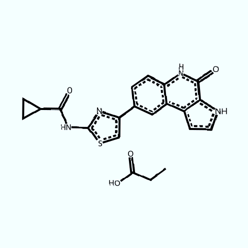 CCC(=O)O.O=C(Nc1nc(-c2ccc3[nH]c(=O)c4[nH]ccc4c3c2)cs1)C1CC1